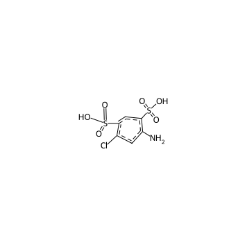 Nc1cc(Cl)c(S(=O)(=O)O)cc1S(=O)(=O)O